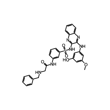 COc1cc(O)cc(Nc2nc3ccccc3nc2NS(=O)(=O)c2cccc(NC(=O)CNCc3ccccc3)c2)c1